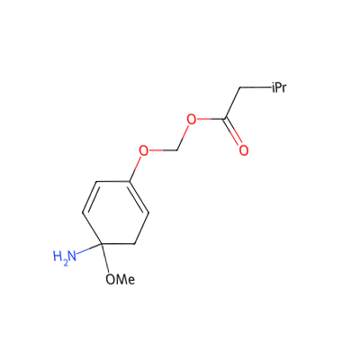 COC1(N)C=CC(OCOC(=O)CC(C)C)=CC1